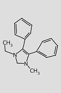 CCN1CN(C)C(c2ccccc2)=C1c1ccccc1